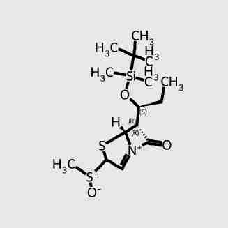 CC[C@H](O[Si](C)(C)C(C)(C)C)[C@@H]1C(=O)[N+]2=CC([S+](C)[O-])S[C@H]12